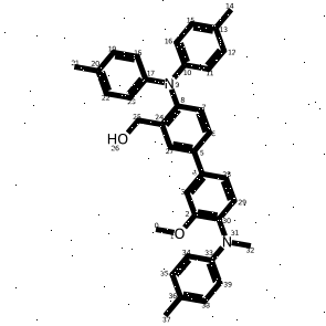 COc1cc(-c2ccc(N(c3ccc(C)cc3)c3ccc(C)cc3)c(CO)c2)ccc1N(C)c1ccc(C)cc1